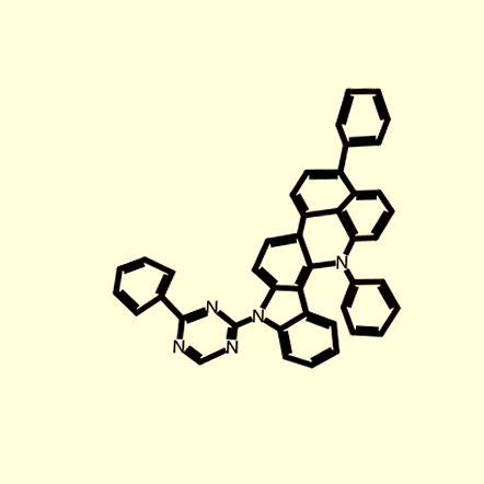 c1ccc(-c2ncnc(-n3c4ccccc4c4c5c(ccc43)-c3ccc(-c4ccccc4)c4cccc(c34)N5c3ccccc3)n2)cc1